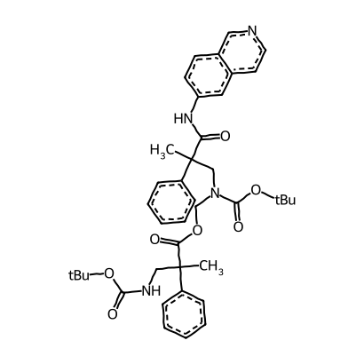 CC(C)(C)OC(=O)NCC(C)(C(=O)OCN(CC(C)(C(=O)Nc1ccc2cnccc2c1)c1ccccc1)C(=O)OC(C)(C)C)c1ccccc1